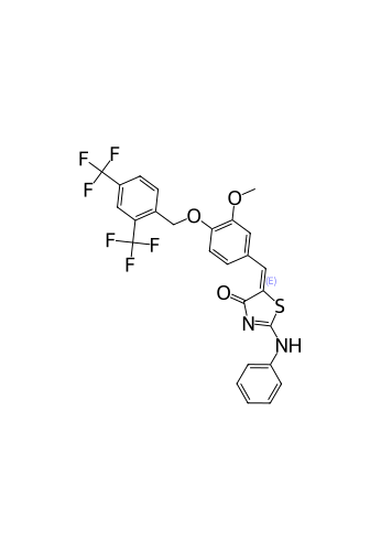 COc1cc(/C=C2/SC(Nc3ccccc3)=NC2=O)ccc1OCc1ccc(C(F)(F)F)cc1C(F)(F)F